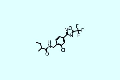 CCC(C)C(=O)NCc1ccc(-c2noc(C(F)(F)F)n2)cc1Cl